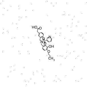 CCCOc1ccc(CN(Cc2cccc(CC(=O)O)c2)S(=O)(=O)c2cccnc2)cc1O